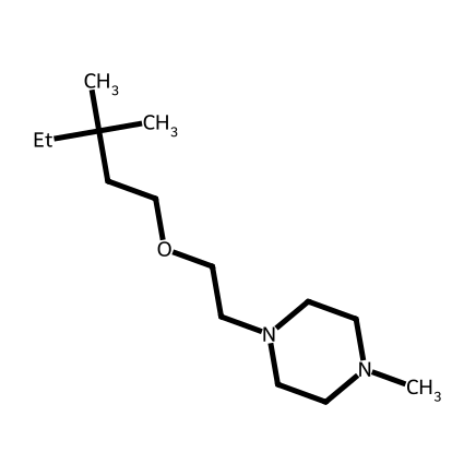 CCC(C)(C)CCOCCN1CCN(C)CC1